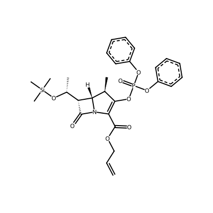 C=CCOC(=O)C1=C(OP(=O)(Oc2ccccc2)Oc2ccccc2)[C@H](C)[C@H]2[C@@H]([C@@H](C)O[Si](C)(C)C)C(=O)N12